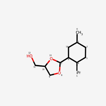 CC1CCC(C(C)C)C(C2OCC(CO)O2)C1